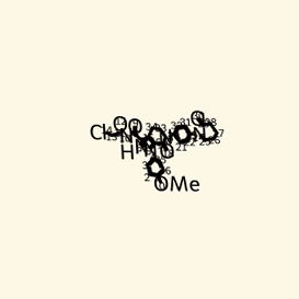 COc1ccc(-n2nc(C(=O)NC(=O)CCl)c3c2C(=O)N(c2ccc(N4CCCCC4=O)cc2)CC3)cc1